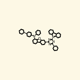 c1ccc(-c2ccc(N(c3ccccc3)c3cccc4c3oc3cc(-c5nc(-c6ccccc6)nc(-n6c7ccccc7c7ccccc76)n5)ccc34)cc2)cc1